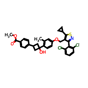 COC(=O)c1ccc(C2CC(O)(c3ccc(OCc4c(-c5c(Cl)cccc5Cl)nsc4C4CC4)cc3C)C2)cc1